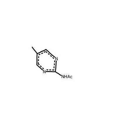 CC(=O)Nc1ncc(C)cn1